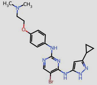 CN(C)CCOc1ccc(Nc2ncc(Br)c(Nc3cc(C4CC4)n[nH]3)n2)cc1